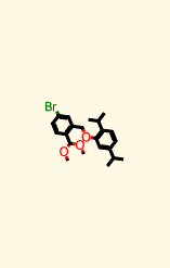 COC(OC)c1ccc(Br)cc1COc1cc(C(C)C)ccc1C(C)C